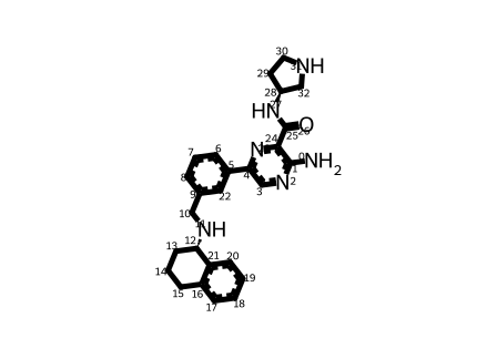 Nc1ncc(-c2cccc(CN[C@H]3CCCc4ccccc43)c2)nc1C(=O)N[C@H]1CCNC1